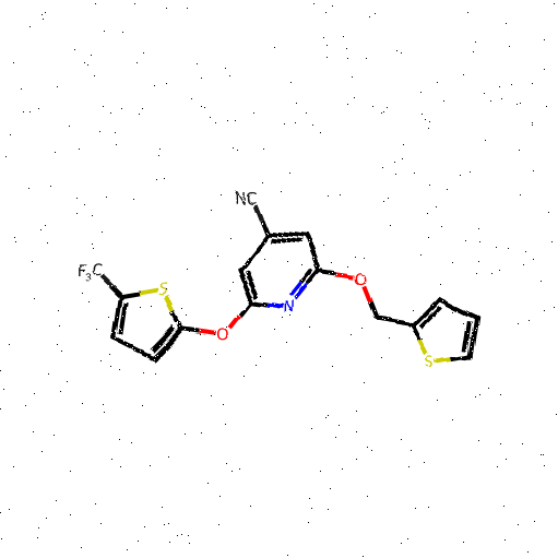 N#Cc1cc(OCc2cccs2)nc(Oc2ccc(C(F)(F)F)s2)c1